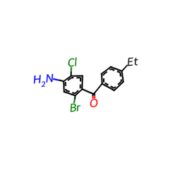 CCc1ccc(C(=O)c2cc(Cl)c(N)cc2Br)cc1